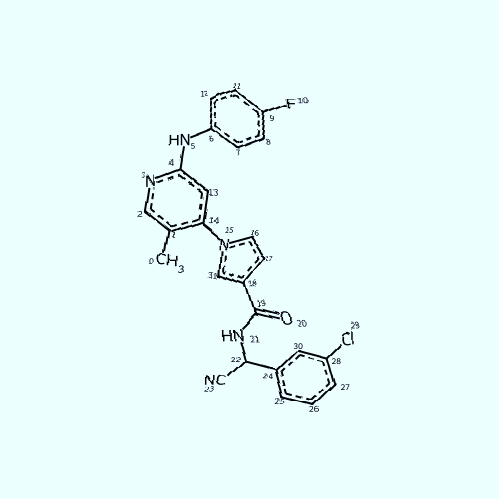 Cc1cnc(Nc2ccc(F)cc2)cc1-n1ccc(C(=O)NC(C#N)c2cccc(Cl)c2)c1